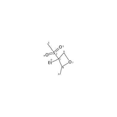 CCC1(S(C)(=O)=O)COC1C